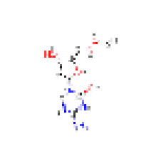 Nc1ncn([C@H]2C[C@H](O)[C@@H](COO[SiH3])O2)c(=O)n1